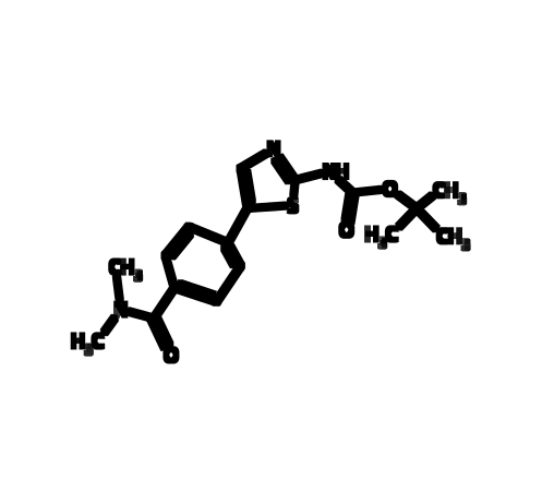 CN(C)C(=O)c1ccc(-c2cnc(NC(=O)OC(C)(C)C)s2)cc1